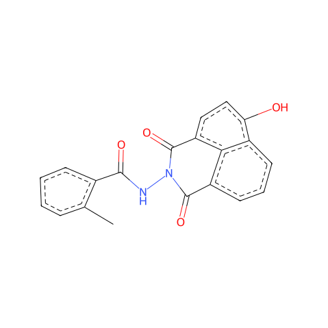 Cc1ccccc1C(=O)NN1C(=O)c2cccc3c(O)ccc(c23)C1=O